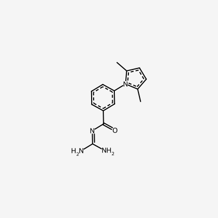 Cc1ccc(C)n1-c1cccc(C(=O)N=C(N)N)c1